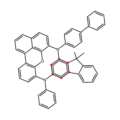 CC1(C)c2ccccc2-c2cccc(N(c3ccc(-c4ccccc4)cc3)c3ccc4cccc5c4c3Oc3c-5cccc3N(c3ccccc3)c3ccccc3)c21